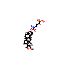 C[C@]12CC[C@H](OC(=O)NCCCC(=O)O)C[C@H]1CC[C@@H]1[C@@H]2CC[C@]2(C)[C@@H](C3=CC(=O)OC3)CC[C@]12O